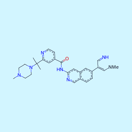 CN/C=C(\C=N)c1ccc2cnc(NC(=O)c3ccnc(C(C)(C)N4CCN(C)CC4)c3)cc2c1